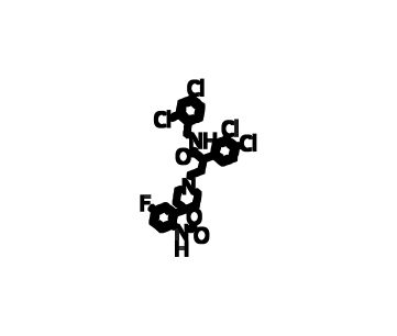 O=C1Nc2ccc(F)cc2C2(CCN(CCC(C(=O)NCc3ccc(Cl)cc3Cl)c3ccc(Cl)c(Cl)c3)CC2)O1